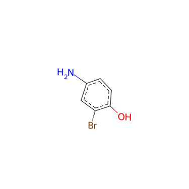 Nc1ccc(O)c(Br)c1